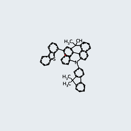 CC1(C)c2ccccc2-c2ccc(N(c3ccccc3)c3ccc4cccc5c4c3-c3ccc(-c4cccc6c4sc4ccccc46)cc3C5(C)C)cc21